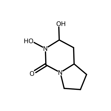 O=C1N(O)C(O)CC2CCCN12